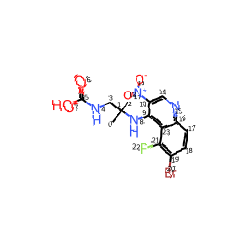 CC(C)(CNC(=O)O)Nc1c([N+](=O)[O-])cnc2ccc(Br)c(F)c12